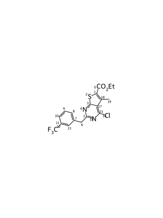 CCOC(=O)c1sc2nc(Cc3cccc(C(F)(F)F)c3)nc(Cl)c2c1C